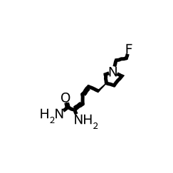 NC(=O)/C(N)=C\C=C/C[C@@H]1CCN(CCF)C1